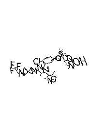 Cc1noc(C)c1-c1nc(-c2cc(OC[C@@H](CN(C)C(=O)O)O[Si](C)(C)C(C)(C)C)ccc2Cl)nc(N2CC3(CN(CC(F)(F)F)C3)C2)c1C